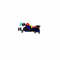 COC(=O)C(C)CC(Cc1ccc(F)cc1)NC(=O)c1csc(C(CC(C(C)C)N(C)C(=O)C(NC(=O)[C@H]2CCCCN2C)C(C)C)OC(C)=O)n1